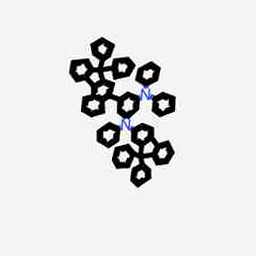 c1ccc(N(c2ccccc2)c2cc(-c3cc4c(c5ccccc35)-c3ccccc3C4(c3ccccc3)c3ccccc3)cc(N(c3ccccc3)c3ccc4c(c3)C(c3ccccc3)(c3ccccc3)c3ccccc3-4)c2)cc1